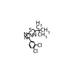 CC(C)(C)C1=Nn2c(nnc2-c2ccc(Cl)c(Cl)c2)SC1